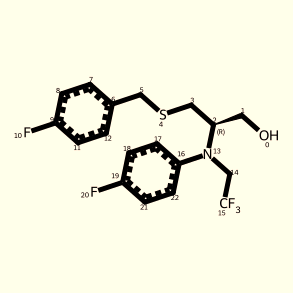 OC[C@H](CSCc1ccc(F)cc1)N(CC(F)(F)F)c1ccc(F)cc1